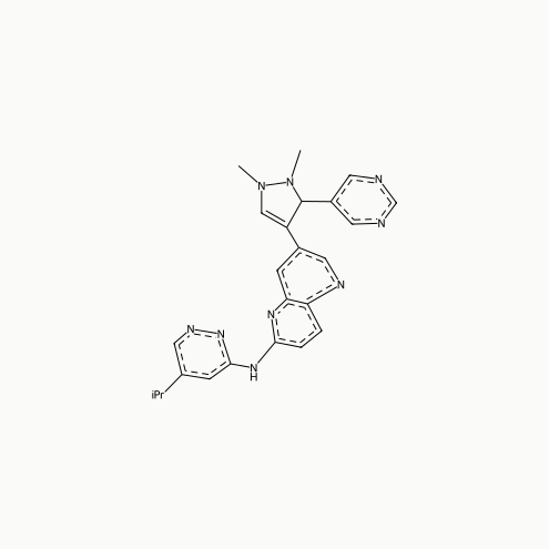 CC(C)c1cnnc(Nc2ccc3ncc(C4=CN(C)N(C)C4c4cncnc4)cc3n2)c1